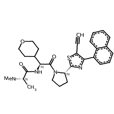 C#Cc1sc([C@@H]2CCCN2C(=O)[C@@H](NC(=O)[C@H](C)NC)C2CCOCC2)nc1-c1cccc2ccccc12